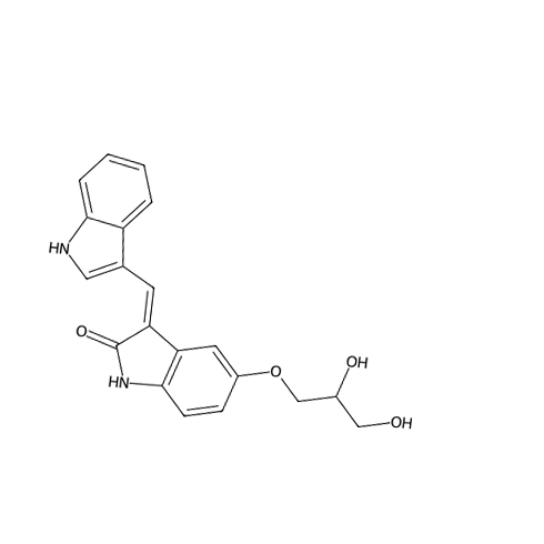 O=C1Nc2ccc(OCC(O)CO)cc2C1=Cc1c[nH]c2ccccc12